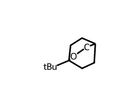 CC(C)(C)C12CCC(CC1)CO2